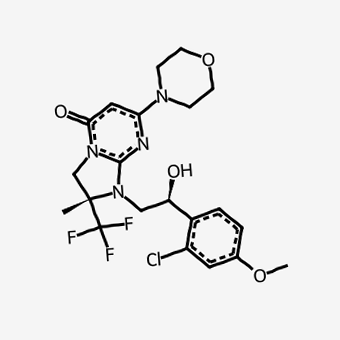 COc1ccc([C@H](O)CN2c3nc(N4CCOCC4)cc(=O)n3C[C@@]2(C)C(F)(F)F)c(Cl)c1